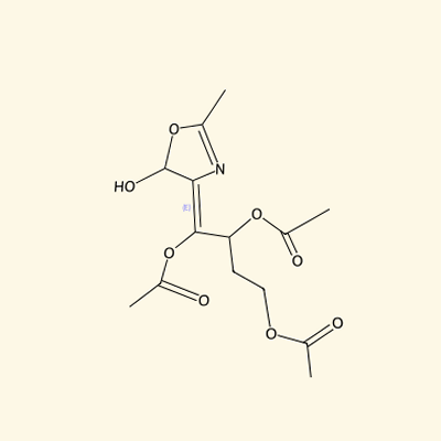 CC(=O)OCCC(OC(C)=O)/C(OC(C)=O)=C1\N=C(C)OC1O